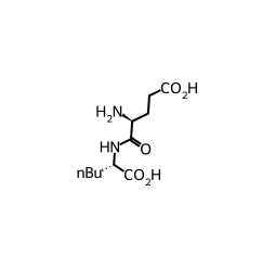 CCCC[C@H](NC(=O)[C@@H](N)CCC(=O)O)C(=O)O